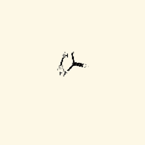 CC(N)=O.CCS